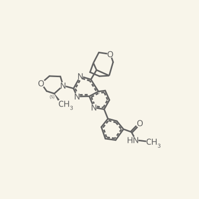 CNC(=O)c1cccc(-c2ccc3c(C4C5CCC4COC5)nc(N4CCOC[C@@H]4C)nc3n2)c1